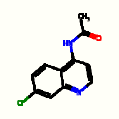 CC(=O)Nc1ccnc2cc(Cl)ccc12